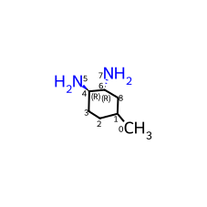 CC1CC[C@@H](N)[C@H](N)C1